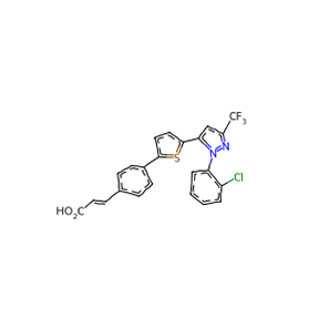 O=C(O)C=Cc1ccc(-c2ccc(-c3cc(C(F)(F)F)nn3-c3ccccc3Cl)s2)cc1